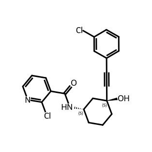 O=C(N[C@H]1CCC[C@@](O)(C#Cc2cccc(Cl)c2)C1)c1cccnc1Cl